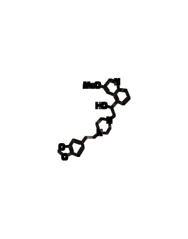 COc1cnc2cccc(C(O)CN3CCN(CCc4ccc5c(c4)OCO5)CC3)c2c1